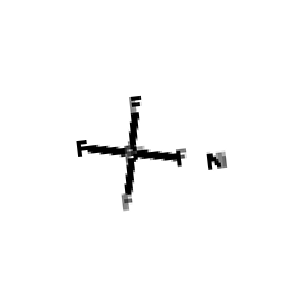 F[B-](F)(F)F.[Ni]